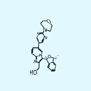 C[C@H]1O[C@H](c2c(CO)nc3ccc(-c4cnc(N5CCOCC5)nc4)cn23)c2ccccc21